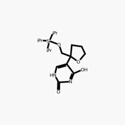 CC(C)[Si](OCC1(c2c[nH]c(=O)nc2O)CCCO1)(C(C)C)C(C)C